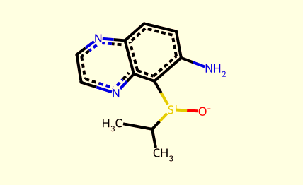 CC(C)[S+]([O-])c1c(N)ccc2nccnc12